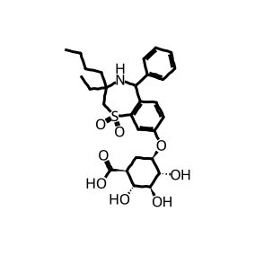 CCCCC1(CC)CS(=O)(=O)c2cc(O[C@@H]3C[C@H](C(=O)O)[C@@H](O)[C@H](O)[C@H]3O)ccc2C(c2ccccc2)N1